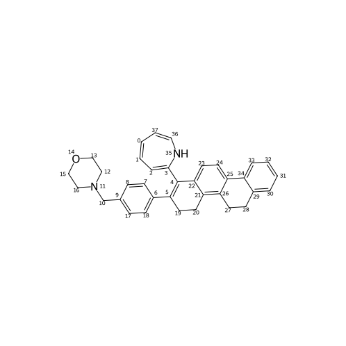 C1=CC=C(C2=C(c3ccc(CN4CCOCC4)cc3)CCc3c2ccc2c3CCc3ccccc3-2)NC=C1